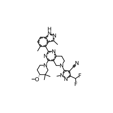 CO[C@@H]1CCN(c2nc(-c3c(C)ccc4[nH]nc(C)c34)nc3c2CN(c2c(C#N)c(C(F)F)nn2C)CC3)CC1(C)C